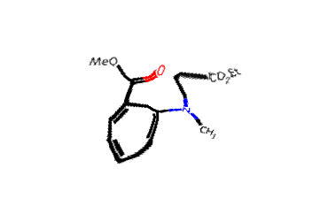 CCOC(=O)CN(C)c1ccccc1C(=O)OC